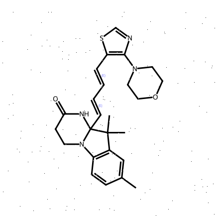 Cc1ccc2c(c1)C(C)(C)C1(/C=C/C=C/c3scnc3N3CCOCC3)NC(=O)CCN21